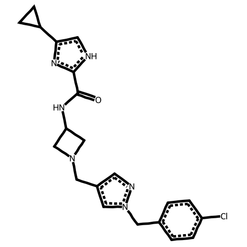 O=C(NC1CN(Cc2cnn(Cc3ccc(Cl)cc3)c2)C1)c1nc(C2CC2)c[nH]1